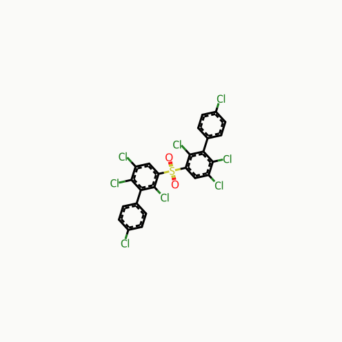 O=S(=O)(c1cc(Cl)c(Cl)c(-c2ccc(Cl)cc2)c1Cl)c1cc(Cl)c(Cl)c(-c2ccc(Cl)cc2)c1Cl